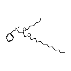 CCCCCCCCCCCCOCC(CN(C)Cc1ccccc1)OCCCCCC